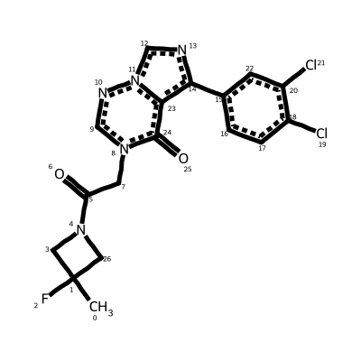 CC1(F)CN(C(=O)Cn2cnn3cnc(-c4ccc(Cl)c(Cl)c4)c3c2=O)C1